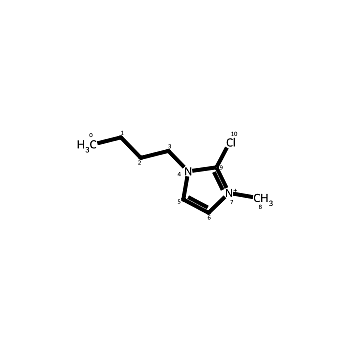 CCCCn1cc[n+](C)c1Cl